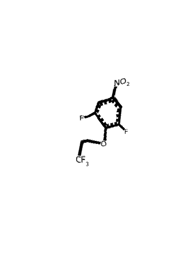 O=[N+]([O-])c1cc(F)c(OCC(F)(F)F)c(F)c1